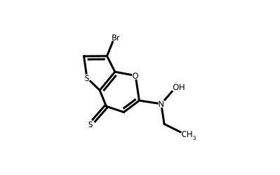 CCN(O)c1cc(=S)c2scc(Br)c2o1